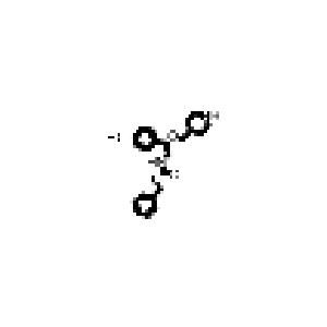 Cl.O=C(NCC(OCC1CCNCC1)c1ccccc1)OCc1ccccc1